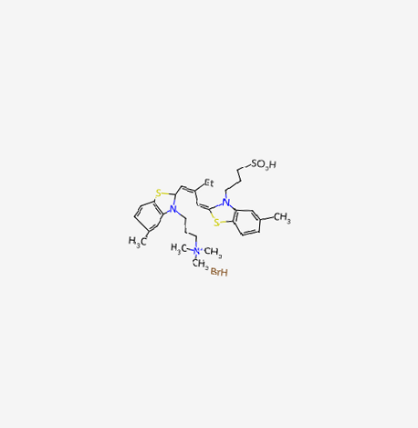 Br.CCC(=CC1Sc2ccc(C)cc2N1CCC[N+](C)(C)C)C=C1Sc2ccc(C)cc2N1CCCS(=O)(=O)O